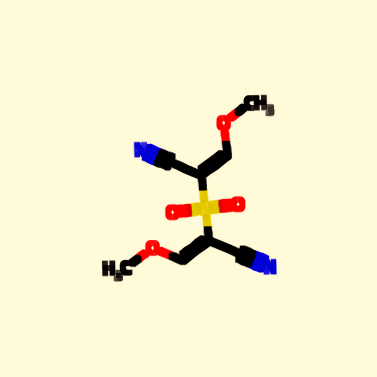 COC=C(C#N)S(=O)(=O)C(C#N)=COC